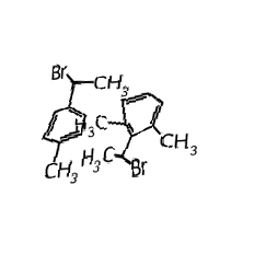 Cc1ccc(C(C)Br)cc1.Cc1cccc(C)c1C(C)Br